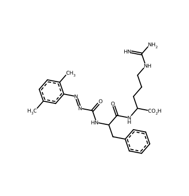 Cc1ccc(C)c(/N=N/C(=O)NC(Cc2ccccc2)C(=O)NC(CCCNC(=N)N)C(=O)O)c1